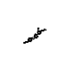 C=CCCc1ccc(COc2ccc(-c3ccc(CCCC)c(F)c3)cc2)cc1